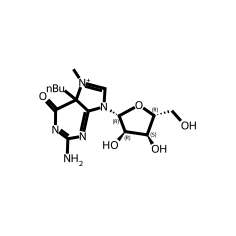 CCCCC12C(=O)N=C(N)N=C1N([C@@H]1O[C@H](CO)[C@@H](O)[C@H]1O)C=[N+]2C